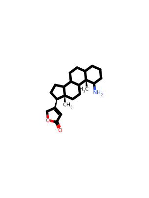 C[C@]12C(N)CCCC1CCC1C2CC[C@@]2(C)C1CC[C@@H]2C1=CC(=O)OC1